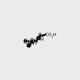 O=C(O)CCCNC(=O)c1ccc(-c2csc(N3N=C(c4ccccc4)/C(=N\Nc4nccs4)C3=O)n2)cc1